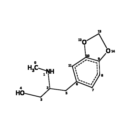 CNC(CO)Cc1ccc2c(c1)OCO2